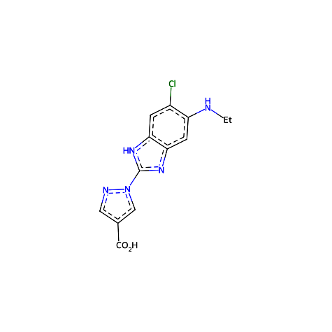 CCNc1cc2nc(-n3cc(C(=O)O)cn3)[nH]c2cc1Cl